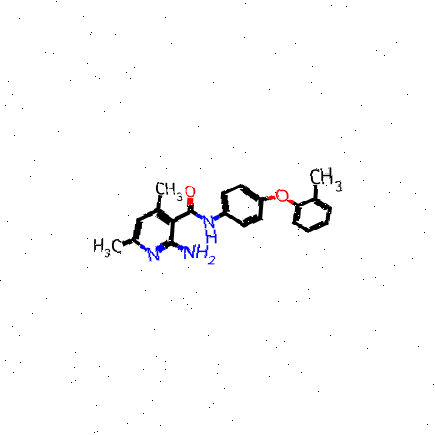 Cc1cc(C)c(C(=O)Nc2ccc(Oc3ccccc3C)cc2)c(N)n1